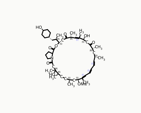 CO[C@H]1C[C@@H](C)CC[C@@H](C)[C@](C)(O)CC(=O)N2CCCC2C(=O)O[C@H]([C@H](C)C[C@H]2CC[C@H](O)CC2)CC(=O)[C@H](C)/C=C(\C)[C@@H](O)CC(=O)[C@H](C)C[C@H](C)/C=C/C=C/C=C/1C